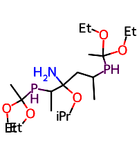 CCOC(C)(OCC)PC(C)CC(N)(OC(C)C)C(C)PC(C)(OCC)OCC